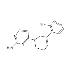 Nc1nccc(C2CCC=C(c3ccncc3Br)C2)n1